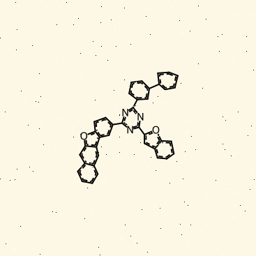 c1ccc(-c2cccc(-c3nc(-c4ccc5oc6cc7ccccc7cc6c5c4)nc(-c4cc5ccccc5o4)n3)c2)cc1